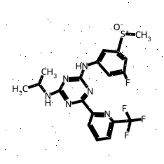 CC(C)Nc1nc(Nc2cc(F)cc([S+](C)[O-])c2)nc(-c2cccc(C(F)(F)F)n2)n1